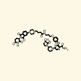 CN1CCN([C@@H]2CCCN(c3cnc(C(N)=O)c(Nc4ccc(OCCCNC(=O)CCCN5CCN(c6ccc7c(c6)C(=O)N(C6CCC(=O)NC6=O)C7=O)CC5)cc4)n3)C2)C1=O